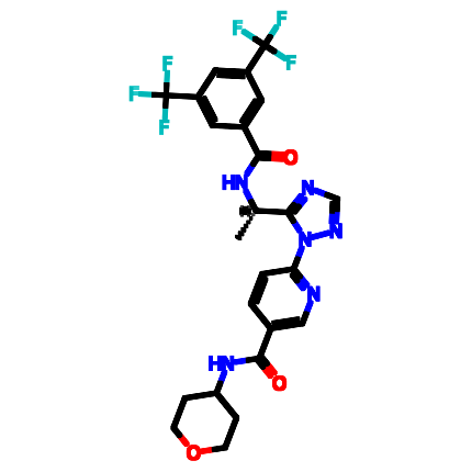 C[C@H](NC(=O)c1cc(C(F)(F)F)cc(C(F)(F)F)c1)c1ncnn1-c1ccc(C(=O)NC2CCOCC2)cn1